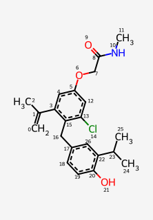 C=C(C)c1cc(OCC(=O)NC)cc(Cl)c1Cc1ccc(O)c(C(C)C)c1